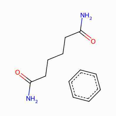 NC(=O)CCCCC(N)=O.c1ccccc1